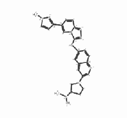 CN(C)C1CCN(c2cnc3ccc(Sc4nnc5ccc(-c6ccn(C)n6)cn45)cc3c2)C1